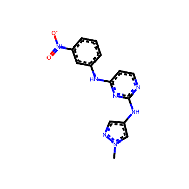 Cn1cc(Nc2nccc(Nc3cccc([N+](=O)[O-])c3)n2)cn1